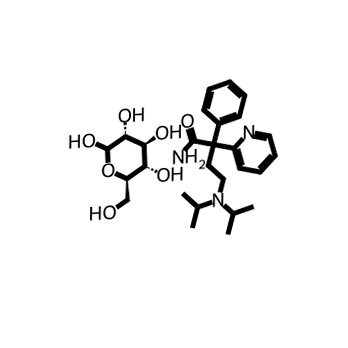 CC(C)N(CCC(C(N)=O)(c1ccccc1)c1ccccn1)C(C)C.OC[C@H]1OC(O)[C@H](O)[C@@H](O)[C@@H]1O